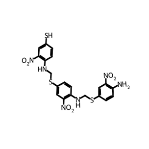 Nc1ccc(SCNc2ccc(SCNc3ccc(S)cc3[N+](=O)[O-])cc2[N+](=O)[O-])cc1[N+](=O)[O-]